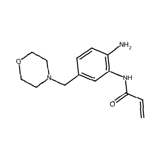 C=CC(=O)Nc1cc(CN2CCOCC2)ccc1N